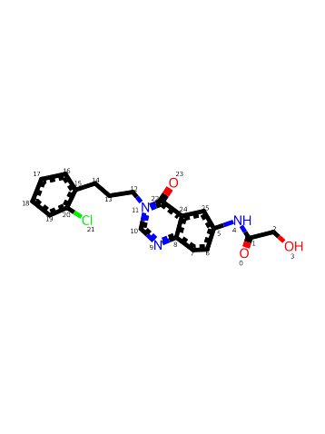 O=C(CO)Nc1ccc2ncn(CCCc3ccccc3Cl)c(=O)c2c1